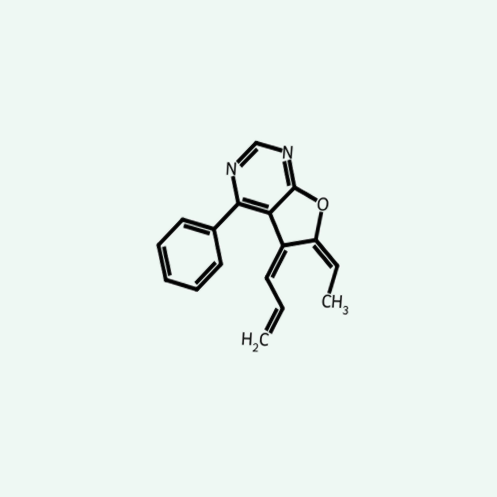 C=C/C=c1\c(=C/C)oc2ncnc(-c3ccccc3)c12